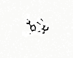 COc1cc(-c2cn[nH]c2)ccc1Nc1ncc2ccnc(N3CCOC(C)C3)c2n1